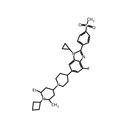 CCC1CC(N2CCC(c3cc(F)c4nc(-c5ccc(S(C)(=O)=O)cc5)n(C5CC5)c4c3)CC2)CC(C)N1C1CCC1